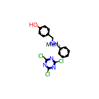 CNc1ccccc1.Clc1nc(Cl)nc(Cl)n1.NCc1ccc(O)cc1